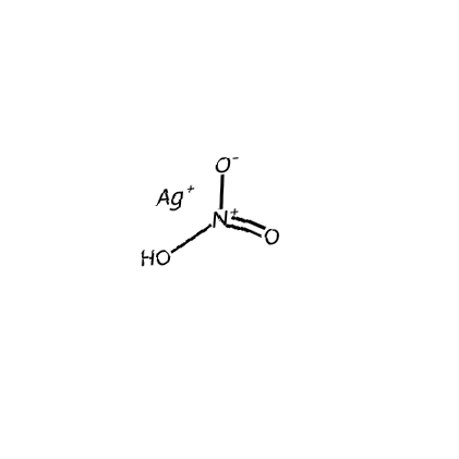 O=[N+]([O-])O.[Ag+]